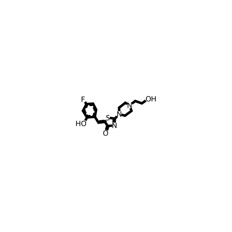 O=C1N=C(N2CCN(CCO)CC2)SC1=Cc1ccc(F)cc1O